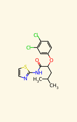 CC(C)CC(Oc1ccc(Cl)c(Cl)c1)C(=O)Nc1nccs1